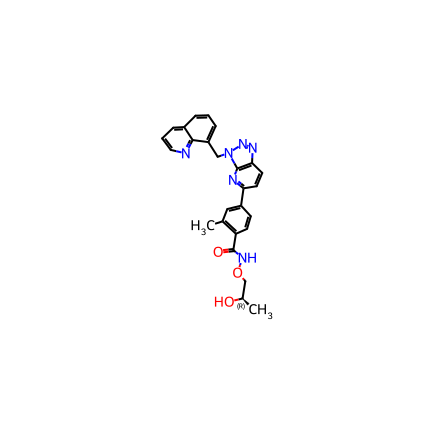 Cc1cc(-c2ccc3nnn(Cc4cccc5cccnc45)c3n2)ccc1C(=O)NOC[C@@H](C)O